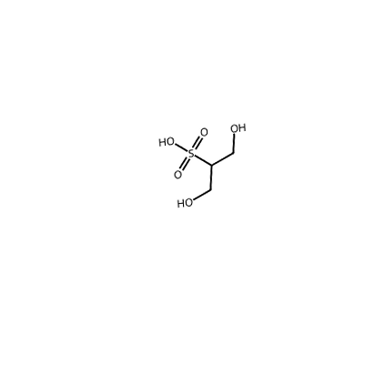 O=S(=O)(O)C(CO)CO